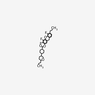 CCCc1ccc2c(c1F)Oc1c(cc(OC(=O)C3CCC(C4CCC(CCC)OC4)CC3)c(F)c1F)C2